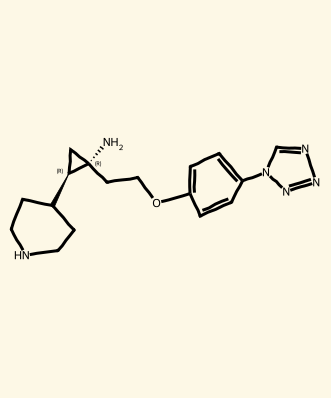 N[C@@]1(CCOc2ccc(-n3cnnn3)cc2)C[C@@H]1C1CCNCC1